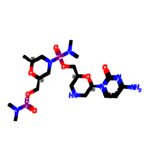 C[C@H]1CN(P(=O)(OC[C@@H]2CNC[C@H](n3ccc(N)nc3=O)O2)N(C)C)C[C@@H](CO[PH](=O)N(C)C)O1